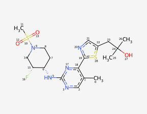 Cc1cnc(N[C@H]2CCN(S(C)(=O)=O)C[C@H]2F)nc1-c1ncc(CC(C)(C)O)s1